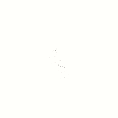 O=S(=O)(c1cnn(CCF)c1)n1cc2c(n1)CNC2